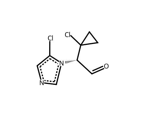 O=C[C@H](n1cncc1Cl)C1(Cl)CC1